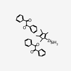 CC1=C(C)C(C)[C]([Zr]=[SiH2])=C1C.O=C(C(=O)c1ccccc1)c1ccccc1.O=C(C(=O)c1ccccc1)c1ccccc1